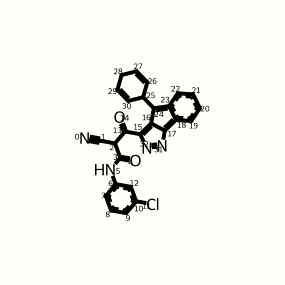 N#CC(C(=O)Nc1cccc(Cl)c1)C(=O)C1=C2C(=c3ccccc3=C2C2C=CCC=C2)N=N1